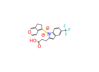 O=C(O)CCc1cc2cc(C(F)(F)F)ccc2n1S(=O)(=O)C1=C2C=COC=C2CC1